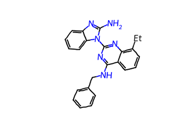 CCc1cccc2c(NCc3ccccc3)nc(-n3c(N)nc4ccccc43)nc12